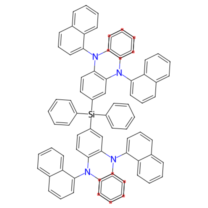 c1ccc(N(c2ccc([Si](c3ccccc3)(c3ccccc3)c3ccc(N(c4ccccc4)c4cccc5ccccc45)c(N(c4ccccc4)c4cccc5ccccc45)c3)cc2N(c2ccccc2)c2cccc3ccccc23)c2cccc3ccccc23)cc1